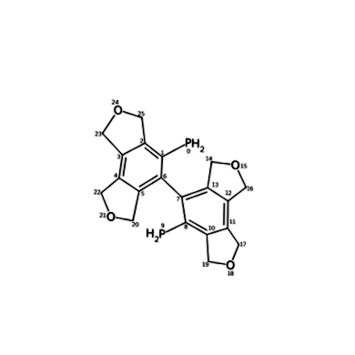 Pc1c2c(c3c(c1-c1c(P)c4c(c5c1COC5)COC4)COC3)COC2